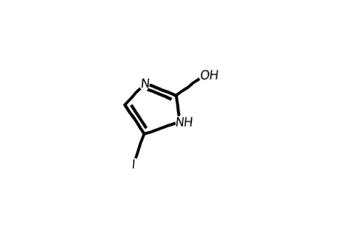 Oc1ncc(I)[nH]1